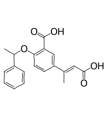 CC(=CC(=O)O)c1ccc(OC(C)c2ccccc2)c(C(=O)O)c1